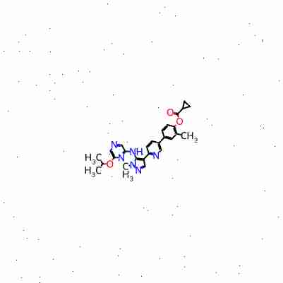 Cc1cc(-c2ccc(-c3cnn(C)c3Nc3cncc(OC(C)C)n3)nc2)ccc1OC(=O)C1CC1